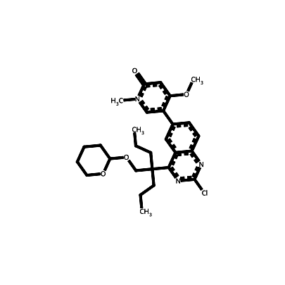 CCCC(CCC)(COC1CCCCO1)c1nc(Cl)nc2ccc(-c3cn(C)c(=O)cc3OC)cc12